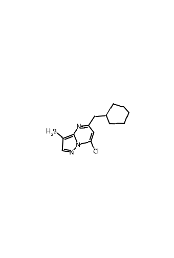 Bc1cnn2c(Cl)cc(CC3CCCCC3)nc12